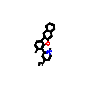 Cc1ccc2c(oc3cc4ccccc4cc32)c1-c1cc(C(C)C)cc[n+]1C